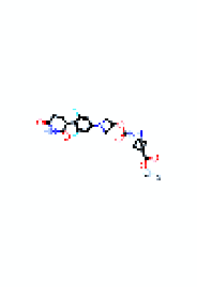 COC(=O)C12CC(NC(=O)OC3CN(c4cc(F)c(C5CCC(=O)NC5=O)c(F)c4)C3)(C1)C2